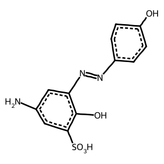 Nc1cc(N=Nc2ccc(O)cc2)c(O)c(S(=O)(=O)O)c1